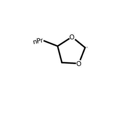 CCCC1CO[CH]O1